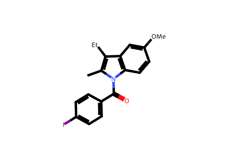 CCc1c(C)n(C(=O)c2ccc(I)cc2)c2ccc(OC)cc12